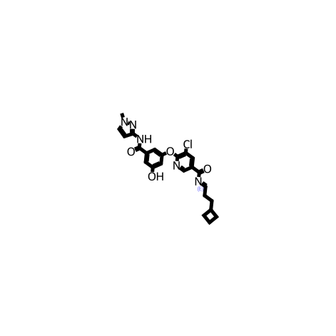 Cn1ccc(NC(=O)c2cc(O)cc(Oc3ncc(C(=O)/N=C/CCC4CCC4)cc3Cl)c2)n1